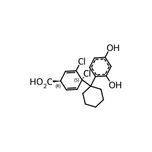 O=C(O)[C@@H]1C=C[C@](Cl)(C2(c3ccc(O)cc3O)CCCCC2)C(Cl)=C1